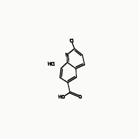 Cl.O=C(O)c1ccc2nc(Cl)ccc2c1